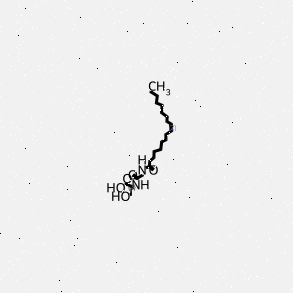 CCCCCCCC/C=C\CCCCCCCC(=O)NCC(=O)N[C@@H](CO)C(=O)O